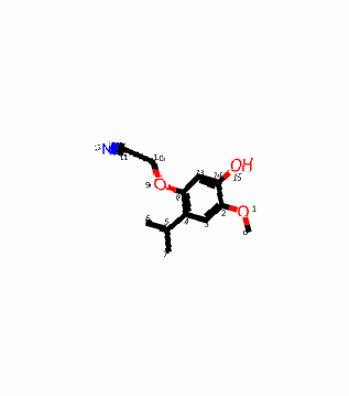 COc1cc(C(C)C)c(OCC#N)cc1O